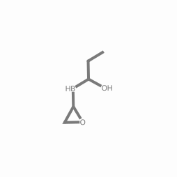 CCC(O)BC1CO1